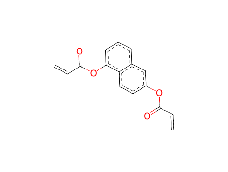 C=CC(=O)Oc1ccc2c(OC(=O)C=C)cccc2c1